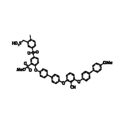 COc1ccc(-c2ccc(Oc3cccc(Oc4ccc(-c5ccc(Oc6ccc(S(=O)(=O)c7ccc(C)c(CS(=O)(=O)O)c7)cc6S(=O)(=O)OC)cc5)cc4)c3C#N)cc2)cc1